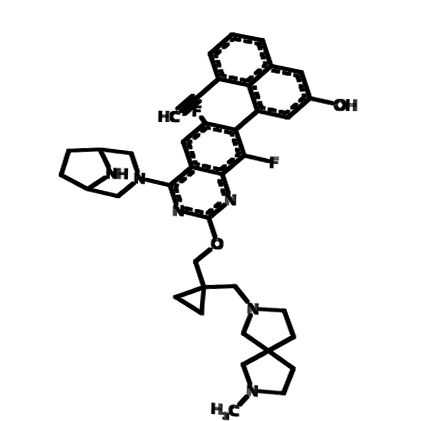 C#Cc1cccc2cc(O)cc(-c3c(F)cc4c(N5CC6CCC(C5)N6)nc(OCC5(CN6CCC7(CCN(C)C7)C6)CC5)nc4c3F)c12